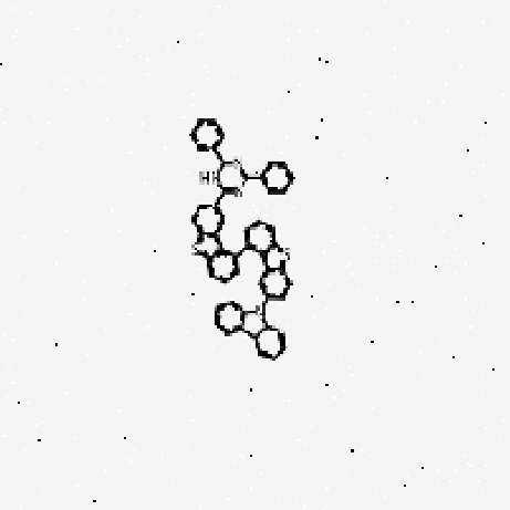 C1=CC2c3ccccc3N(c3ccc4sc5cccc(-c6cccc7sc8ccc(C9=NC(c%10ccccc%10)=NC(c%10ccccc%10)N9)cc8c67)c5c4c3)C2C=C1